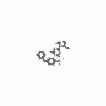 CCC1COC(=O)N1c1nc(C)nc(N[C@@H](C)c2ccc(Cc3ccccc3)cc2)n1